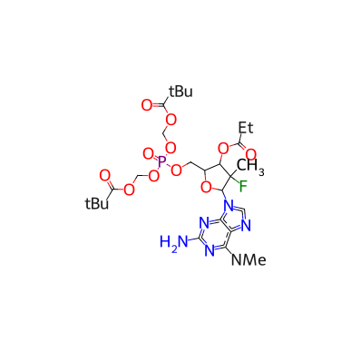 CCC(=O)OC1C(COP(=O)(OCOC(=O)C(C)(C)C)OCOC(=O)C(C)(C)C)OC(n2cnc3c(NC)nc(N)nc32)C1(C)F